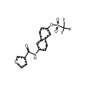 O=C(Nc1ccc2cc(OS(=O)(=O)C(F)(F)F)ccc2c1)c1ccsc1